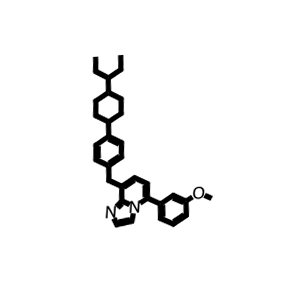 CCC(CC)C1CCC(c2ccc(Cc3ccc(-c4cccc(OC)c4)n4ccnc34)cc2)CC1